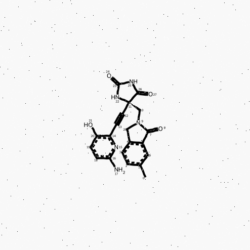 Cc1ccc2c(c1)C(=O)N(C[C@@]1(C#Cc3nc(N)ccc3O)NC(=O)NC1=O)C2